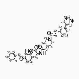 O=C(CC1CCN(C(=O)CCc2cccc(-c3cncnc3)c2)CC1)NC(Cc1ccc(OCc2ccccc2)cc1)C(=O)O